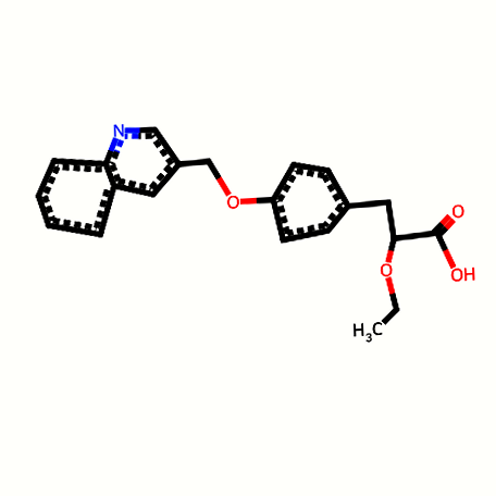 CCOC(Cc1ccc(OCc2cnc3ccccc3c2)cc1)C(=O)O